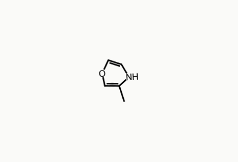 CC1=COC=CN1